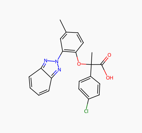 Cc1ccc(OC(C)(C(=O)O)c2ccc(Cl)cc2)c(-n2nc3ccccc3n2)c1